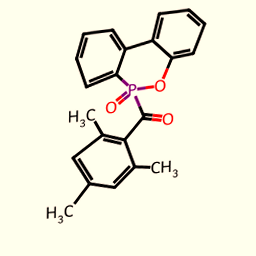 Cc1cc(C)c(C(=O)P2(=O)Oc3ccccc3-c3ccccc32)c(C)c1